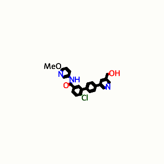 COc1ccc(NC(=O)c2ccc(Cl)c(-c3ccc(-c4cncc(CO)c4)cc3)c2)cn1